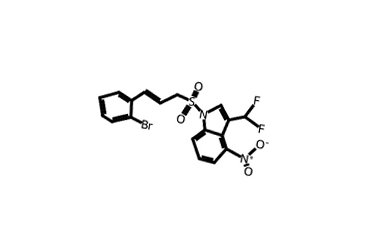 O=[N+]([O-])c1cccc2c1c(C(F)F)cn2S(=O)(=O)CC=Cc1ccccc1Br